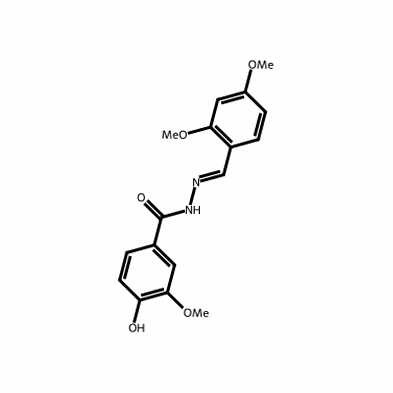 COc1ccc(C=NNC(=O)c2ccc(O)c(OC)c2)c(OC)c1